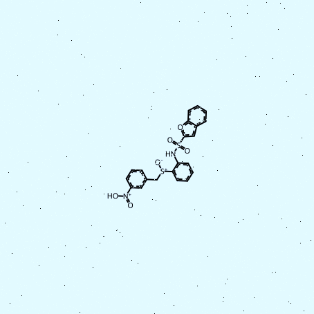 O=[N+](O)c1cccc(C[S+]([O-])c2ccccc2NS(=O)(=O)c2cc3ccccc3o2)c1